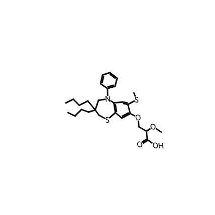 CCCCC1(CCCC)CSc2cc(OCC(OC)C(=O)O)c(SC)cc2N(c2ccccc2)C1